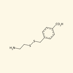 NCCSSCc1ccc(C(=O)O)cc1